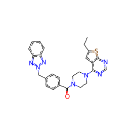 CCc1cc2c(N3CCN(C(=O)c4ccc(Cn5nc6ccccc6n5)cc4)CC3)ncnc2s1